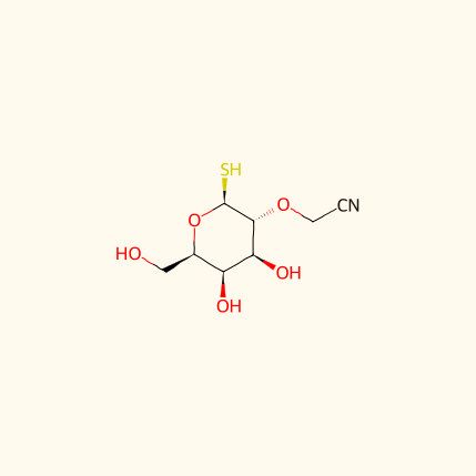 N#CCO[C@@H]1[C@@H](O)[C@@H](O)[C@@H](CO)O[C@H]1S